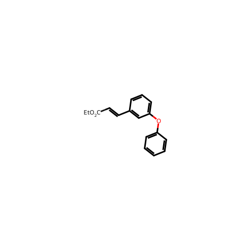 CCOC(=O)C=Cc1cccc(Oc2ccccc2)c1